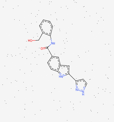 O=C(Nc1ccccc1CO)c1ccc2[nH]c(-c3cc[nH]n3)cc2c1